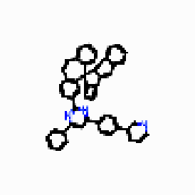 C1=Cc2ccc(-c3nc(-c4ccccc4)cc(-c4ccc(-c5cccnc5)cc4)n3)cc2C2(c3ccccc31)c1ccccc1-c1cc3ccccc3cc12